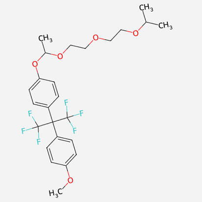 COc1ccc(C(c2ccc(OC(C)OCCOCCOC(C)C)cc2)(C(F)(F)F)C(F)(F)F)cc1